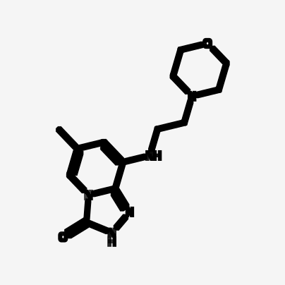 Cc1cc(NCCN2CCOCC2)c2n[nH]c(=O)n2c1